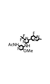 COc1cnc(NC(C)=O)cc1Nc1cc(-c2cc(F)c3nc(C)cn3c2)nc(C(C)(F)F)n1